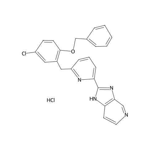 Cl.Clc1ccc(OCc2ccccc2)c(Cc2cccc(-c3nc4cnccc4[nH]3)n2)c1